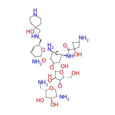 NC[C@@H]1O[C@H](O[C@H]2[C@@H](O)[C@H](O[C@@H]3[C@@H](O)[C@H](NC(=O)C4(O)CC(N)C4)C[C@H](N)[C@H]3O[C@H]3O[C@H](CNCC4(O)CCNCC4)C=C[C@H]3N)O[C@@H]2CO)[C@H](N)[C@@H](O)[C@@H]1O